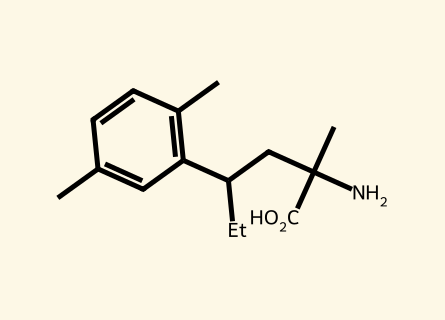 CCC(CC(C)(N)C(=O)O)c1cc(C)ccc1C